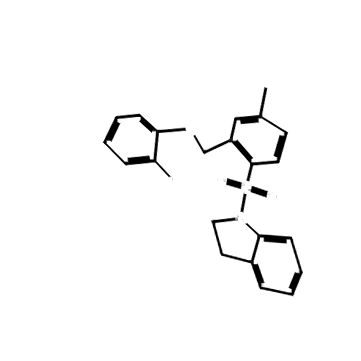 Cc1ccc(S(=O)(=O)N2CCc3ccccc32)c(CSc2ccccc2F)c1